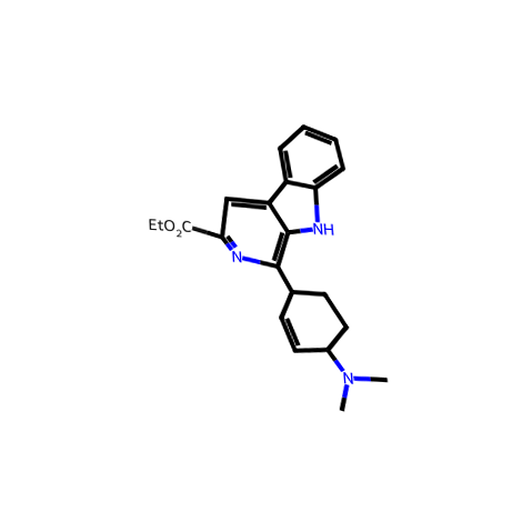 CCOC(=O)c1cc2c([nH]c3ccccc32)c(C2C=CC(N(C)C)CC2)n1